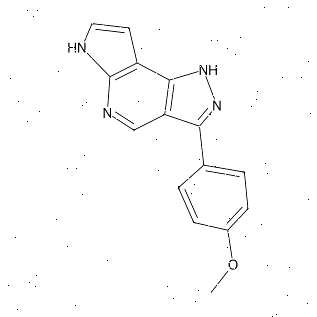 COc1ccc(-c2n[nH]c3c2cnc2[nH]ccc23)cc1